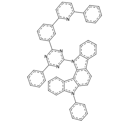 c1ccc(-c2cccc(-c3cccc(-c4nc(-c5ccccc5)nc(-n5c6ccccc6c6ccc7c(c8ccccc8n7-c7ccccc7)c65)n4)c3)n2)cc1